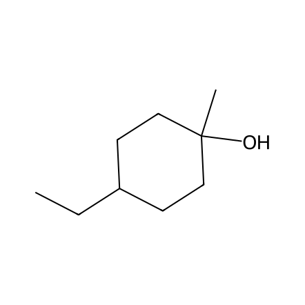 CCC1CCC(C)(O)CC1